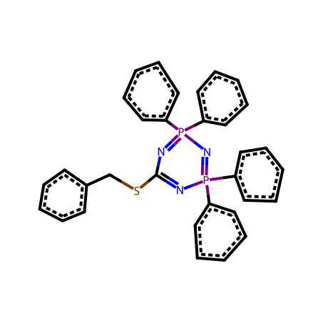 c1ccc(CSC2=NP(c3ccccc3)(c3ccccc3)=NP(c3ccccc3)(c3ccccc3)=N2)cc1